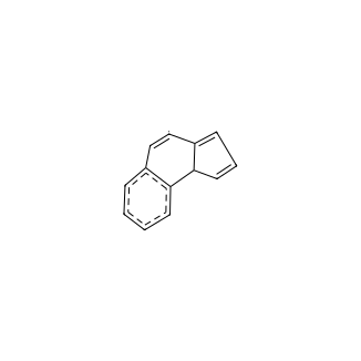 [C]1=Cc2ccccc2C2C=CC=C12